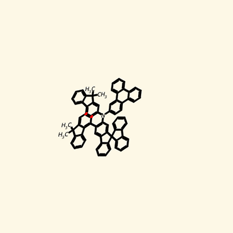 CC1(C)c2ccccc2-c2ccc(N(c3ccc4c5ccccc5c5ccccc5c4c3)c3cc4c(cc3-c3cccc5c3-c3ccccc3C5(C)C)-c3ccccc3C43c4ccccc4-c4ccccc43)cc21